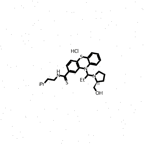 CCC(N1c2ccccc2Sc2ccc(C(=S)NCCC(C)C)cc21)N1CCC[C@H]1CO.Cl